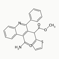 COC(=O)C(c1cccs1)c1c(-c2ccccc2)nc2ccccc2c1C(N)=O